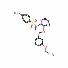 CCOc1cccc(COc2nccnc2NS(=O)(=O)c2ccc(C)cc2)c1